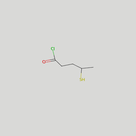 CC(S)CCC(=O)Cl